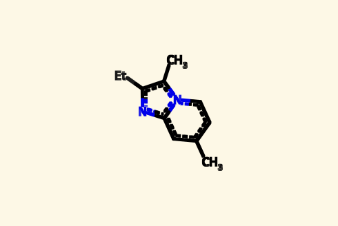 CCc1nc2cc(C)ccn2c1C